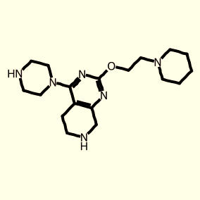 C1CCN(CCOc2nc3c(c(N4CCNCC4)n2)CCNC3)CC1